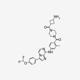 Cc1cc(Nc2nccn3c(-c4ccc(OC(F)F)cc4)cnc23)ccc1C(=O)N1CCN(C(=O)C2CC(N)C2)CC1